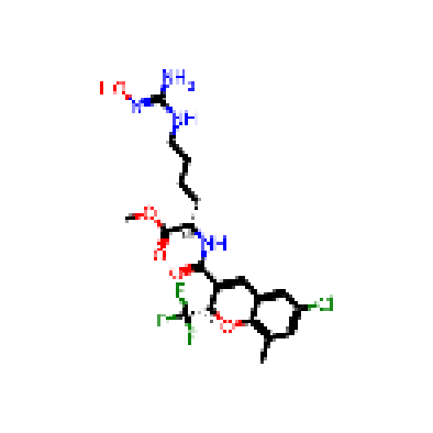 COC(=O)[C@H](CCCCNC(N)=NO)NC(=O)C1=Cc2cc(Cl)cc(C)c2O[C@@H]1C(F)(F)F